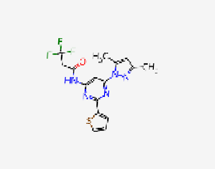 Cc1cc(C)n(-c2cc(NC(=O)CC(F)(F)F)nc(-c3cccs3)n2)n1